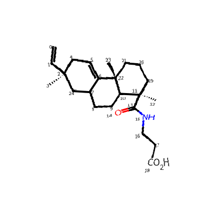 C=C[C@@]1(C)CC=C2C(CCC3[C@](C)(C(=O)NCCC(=O)O)CCC[C@@]23C)C1